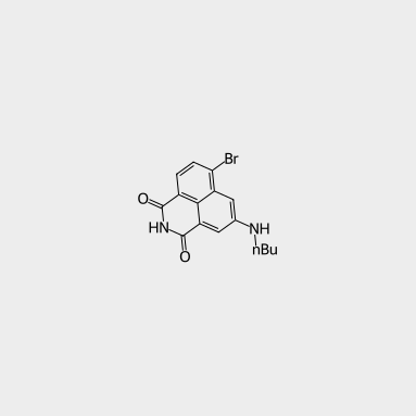 CCCCNc1cc2c3c(ccc(Br)c3c1)C(=O)NC2=O